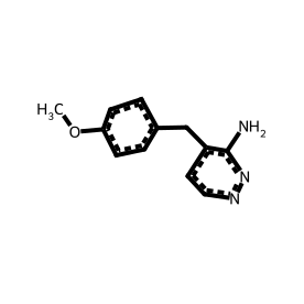 COc1ccc(Cc2ccnnc2N)cc1